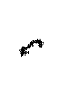 Nc1nnc(-c2ccccc2O)cc1N1CCN(Cc2ccc(N3CCN(CCOc4cccc5c4C(=O)N(C4CCC(=O)NC4O)C5=O)CC3)c(F)c2)CC1